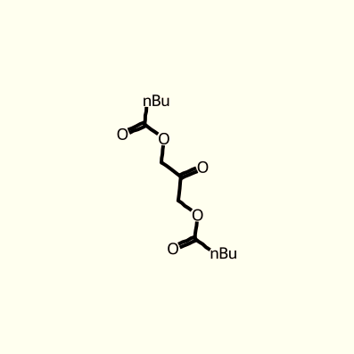 CCCCC(=O)OCC(=O)COC(=O)CCCC